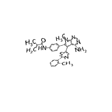 C=C(C)C(=O)Nc1ccc(-c2c(-c3cnc(-c4ccccc4C)s3)c3c(N)ncnc3n2C)cc1